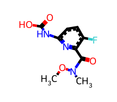 CON(C)C(=O)c1nc(NC(=O)O)ccc1F